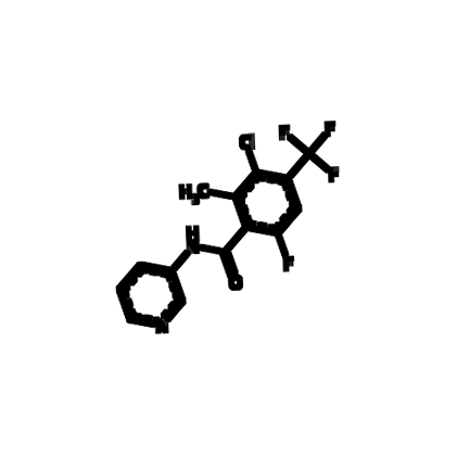 Cc1c(Cl)c(C(F)(F)F)cc(F)c1C(=O)Nc1cccnc1